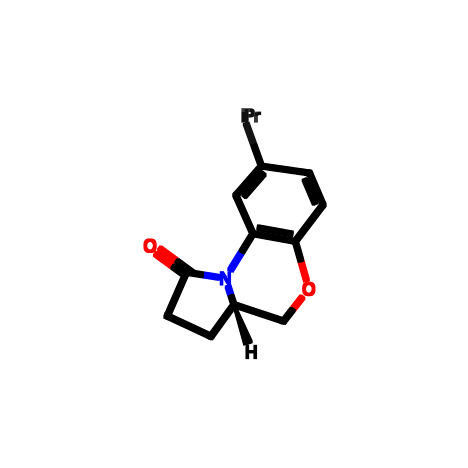 CC(C)c1ccc2c(c1)N1C(=O)CC[C@H]1CO2